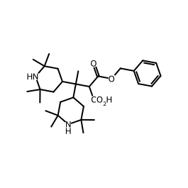 CC1(C)CC(C(C)(C2CC(C)(C)NC(C)(C)C2)C(C(=O)O)C(=O)OCc2ccccc2)CC(C)(C)N1